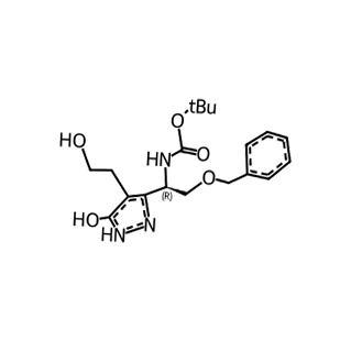 CC(C)(C)OC(=O)N[C@@H](COCc1ccccc1)c1n[nH]c(O)c1CCO